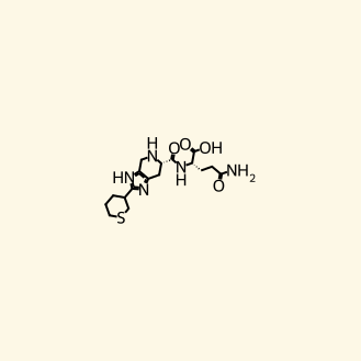 NC(=O)CC[C@H](NC(=O)[C@@H]1Cc2nc(C3CCCSC3)[nH]c2CN1)C(=O)O